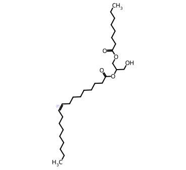 CCCCCCCC/C=C\CCCCCCCC(=O)OC(CO)COC(=O)CCCCCCC